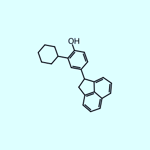 Oc1ccc(C2Cc3cccc4cccc2c34)cc1C1CCCCC1